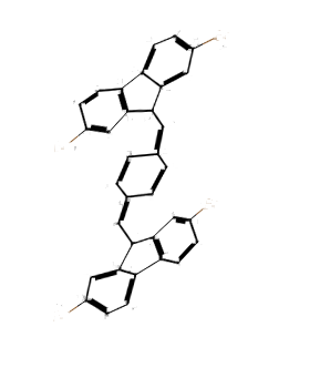 Brc1ccc2c(c1)C(C=c1ccc(=CC3c4cc(Br)ccc4-c4ccc(Br)cc43)cc1)c1cc(Br)ccc1-2